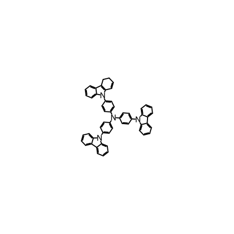 C1=Cc2c(c3ccccc3n2-c2ccc(N(c3ccc(-n4c5ccccc5c5ccccc54)cc3)c3ccc(-n4c5ccccc5c5ccccc54)cc3)cc2)CC1